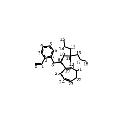 C=Cc1ccccc1CC(CC(C)(CCC)CCC)C1=CCCC=CC1